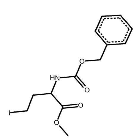 COC(=O)C(CCI)NC(=O)OCc1ccccc1